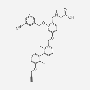 C#CCOc1cccc(-c2cccc(COc3ccc(CN(C)CC(=O)O)c(OCc4cncc(C#N)c4)c3)c2C)c1C